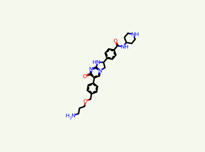 NCCCOCc1ccc(-c2cn3c(nc2=O)NC(c2ccc(C(=O)NC4CCNCC4)cc2)C3)cc1